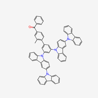 Cc1cc(C(=O)c2ccccc2)ccc1-c1cc(-n2c3ccccc3c3cc(-n4c5ccccc5c5ccccc54)ccc32)cc(-n2c3ccccc3c3cc(-n4c5ccccc5c5ccccc54)ccc32)c1